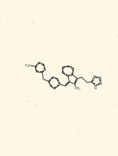 CC1=C(CCc2nnn[nH]2)c2ccccc2/C1=C\c1ccc(Oc2cccc(C(F)(F)F)c2)cc1